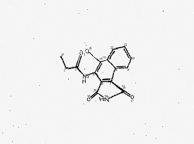 CCC(=O)Nc1c2c(c3ccccc3c1Cl)C(=O)NC2=O